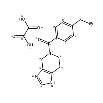 CC(C)Cc1ccc(C(=O)N2CCc3[nH]cnc3C2)cc1.O=C(O)C(=O)O